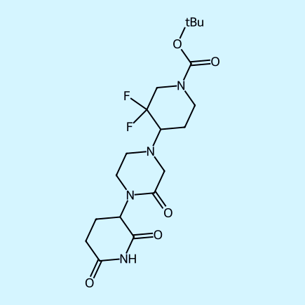 CC(C)(C)OC(=O)N1CCC(N2CCN(C3CCC(=O)NC3=O)C(=O)C2)C(F)(F)C1